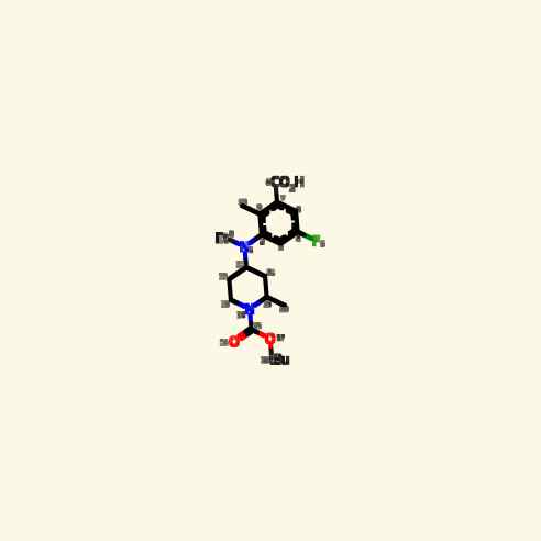 CCN(c1cc(F)cc(C(=O)O)c1C)C1CCN(C(=O)OC(C)(C)C)C(C)C1